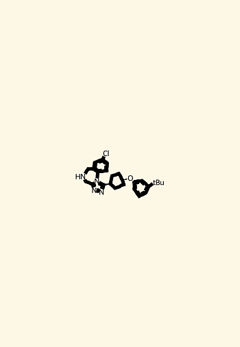 CC(C)(C)c1cccc(O[C@H]2CC[C@H](c3nnc4n3-c3ccc(Cl)cc3CNC4)CC2)c1